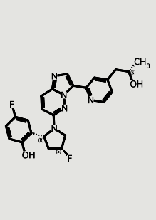 C[C@H](O)Cc1ccnc(-c2cnc3ccc(N4C[C@@H](F)C[C@@H]4c4cc(F)ccc4O)nn23)c1